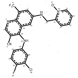 N#Cc1cnc2c(C(F)(F)F)cc(NCc3cccc[n+]3[O-])cc2c1Nc1ccc(F)c(Cl)c1